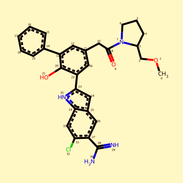 COCC1CCCN1C(=O)Cc1cc(-c2ccccc2)c(O)c(-c2cc3cc(C(=N)N)c(Cl)cc3[nH]2)c1